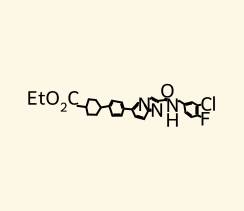 CCOC(=O)CC1CCC(c2ccc(-c3ccc4nc(C(=O)NCc5ccc(F)c(Cl)c5)cn4c3)cc2)CC1